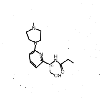 CCC(=O)N[C@H](CO)c1cccc(N2CCN(C)CC2)n1